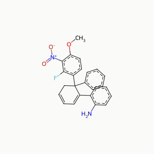 COc1ccc(C2(c3ccccc3)CC=CC=C2c2ccccc2N)c(F)c1[N+](=O)[O-]